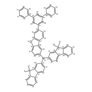 CC1(C)c2ccccc2-c2ccc(N(c3ccc4c(c3)C(C)(C)c3ccccc3-4)c3ccc4oc5cc(-c6nc(-c7ccccc7)nc(-c7ccccc7)n6)ccc5c4c3)cc21